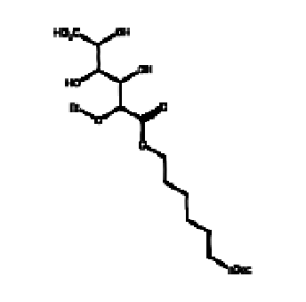 CCCCCCCCCCCCCCCCOC(=O)C(OCC)C(O)C(O)C(O)C(=O)O